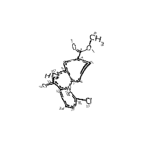 COC(=O)c1ccc2c(c1)[nH]c(=O)c1ccc(Cl)n12